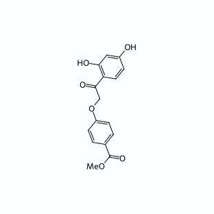 COC(=O)c1ccc(OCC(=O)c2ccc(O)cc2O)cc1